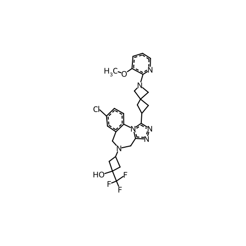 COc1cccnc1N1CC2(CC(c3nnc4n3-c3ccc(Cl)cc3CN(C3CC(O)(C(F)(F)F)C3)C4)C2)C1